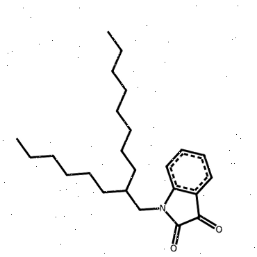 CCCCCCCCC(CCCCCC)CN1C(=O)C(=O)c2ccccc21